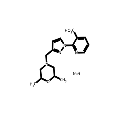 CC1CN(Cc2ccn(-c3ncccc3C(=O)O)n2)CC(C)O1.[NaH]